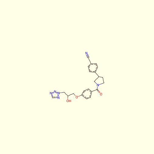 N#Cc1ccc(C2CCN(C(=O)c3ccc(OCC(O)Cn4ncnn4)cc3)C2)cc1